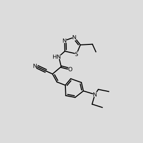 CCc1nnc(NC(=O)C(C#N)=Cc2ccc(N(CC)CC)cc2)s1